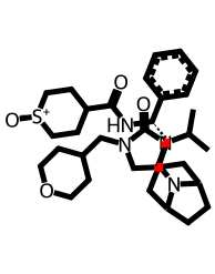 CC(C)N1C(=O)N(CC2CCOCC2)CC12CC1CCC(C2)N1CC[C@H](NC(=O)C1CC[S+]([O-])CC1)c1ccccc1